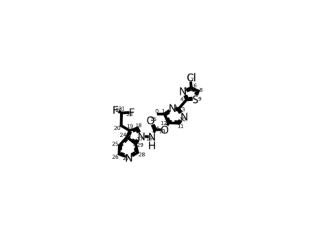 Cc1nc(-c2nc(Cl)cs2)ncc1OC(=O)Nn1cc(CC(F)F)c2ccncc21